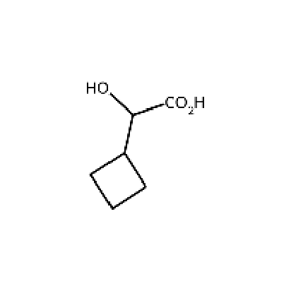 O=C(O)C(O)C1CCC1